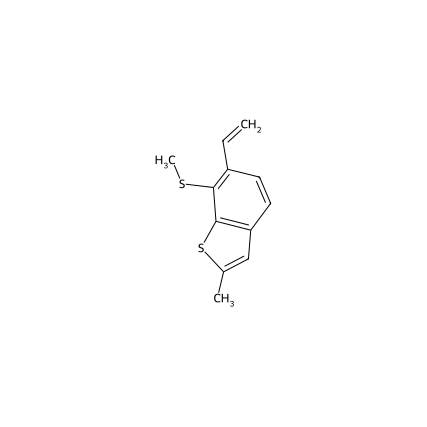 C=Cc1ccc2cc(C)sc2c1SC